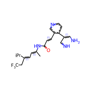 C/C(=C\C=C(\CC(F)(F)F)C(C)C)NC(=O)/C=C/c1cnccc1/C(C=N)=C/N